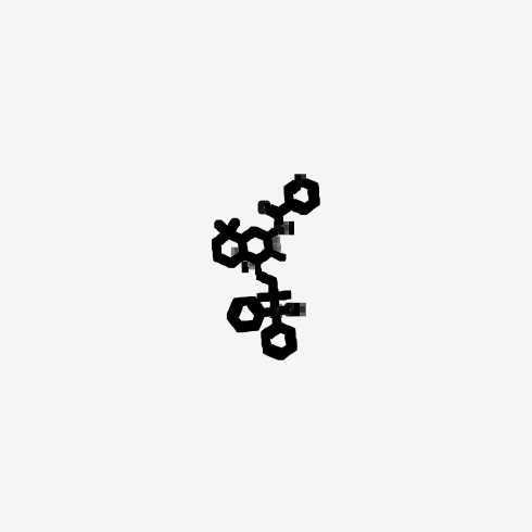 C[C@@H]1[C@H](NC(=O)c2cccnc2)CC2C(C)(C)CCC[C@]2(C)[C@H]1CCC(C)(C)[Si](O)(c1ccccc1)c1ccccc1